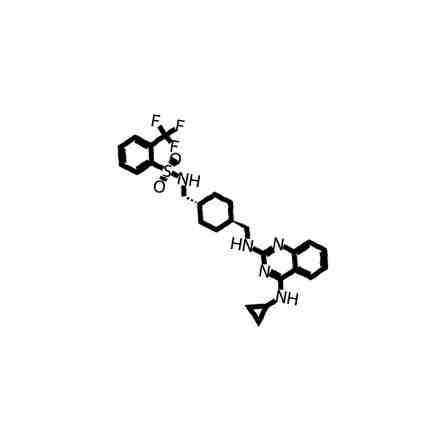 O=S(=O)(NC[C@H]1CC[C@H](CNc2nc(NC3CC3)c3ccccc3n2)CC1)c1ccccc1C(F)(F)F